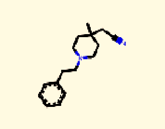 CC1(CC#N)CCN(CCc2ccccc2)CC1